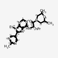 CCC[C@H](Nc1ncnc2c1nc(-c1cnc(C)nc1)n2CC)C(=O)N1CC(C)OC(C)C1